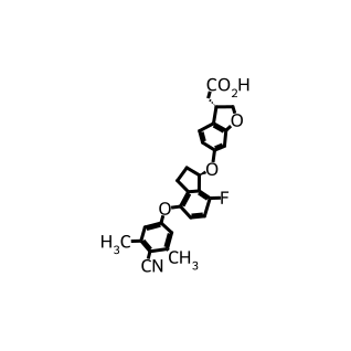 Cc1cc(Oc2ccc(F)c3c2CC[C@H]3Oc2ccc3c(c2)OC[C@H]3CC(=O)O)cc(C)c1C#N